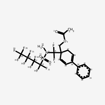 CC(=O)OCC1(C(F)(F)N(C)S(=O)(=O)C(F)(F)C(F)(F)C(F)(F)C(F)(F)F)C=CC(c2ccccc2)=CC1